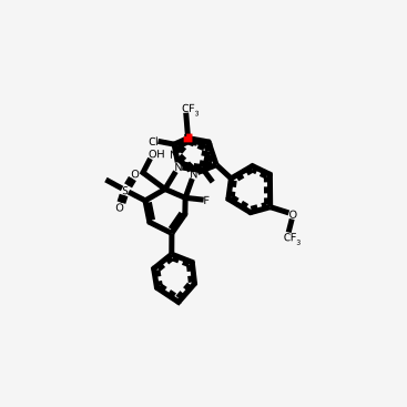 Cc1nc(C(F)(F)F)c(Cl)n1C1(CO)C(S(C)(=O)=O)=CC(c2ccccc2)=CC1(F)n1nncc1-c1ccc(OC(F)(F)F)cc1